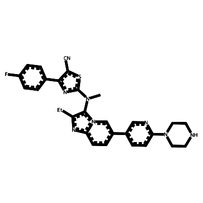 CCc1nc2ccc(-c3ccc(N4CCNCC4)nc3)cn2c1N(C)c1nc(-c2ccc(F)cc2)c(C#N)s1